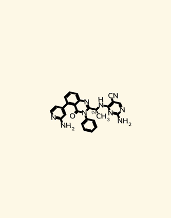 C[C@H](Nc1nc(N)ncc1C#N)c1nc2cccc(-c3ccnc(N)c3)c2c(=O)n1-c1ccccc1